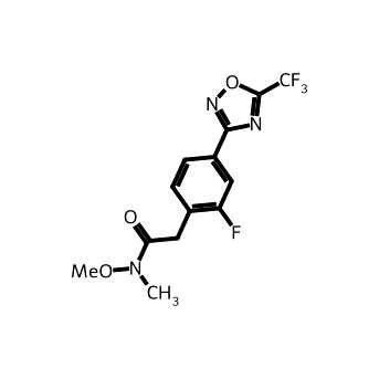 CON(C)C(=O)Cc1ccc(-c2noc(C(F)(F)F)n2)cc1F